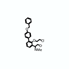 CNC(C[O])c1cccc(-c2ccc(OCc3ccccc3)cc2)c1OCCCl